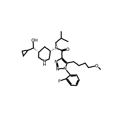 COCCCCc1c(C(=O)N(CC(C)C)[C@@H]2CNC[C@H](C(O)C3CC3)C2)nnn1-c1ccccc1F